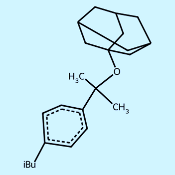 CCC(C)c1ccc(C(C)(C)OC23CC4CC(CC(C4)C2)C3)cc1